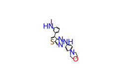 INc1cccc(-c2csc3cnc(Nc4ccc(N5CCOCC5)cc4)nc23)c1